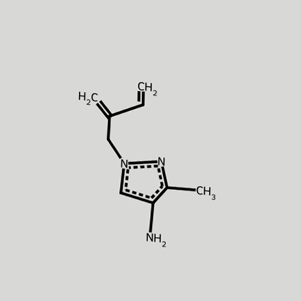 C=CC(=C)Cn1cc(N)c(C)n1